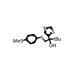 CSc1ccc(SCC(O)(c2cncs2)C(C)(C)C)cc1